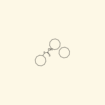 C1CCCCCCCCC1.C1CCCCCCCCC1.OC(=S)SC1CCCCCCCCC1